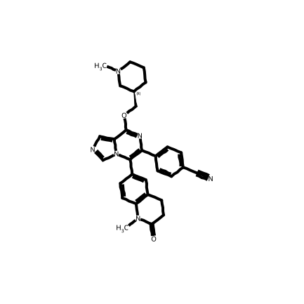 CN1CCC[C@@H](COc2nc(-c3ccc(C#N)cc3)c(-c3ccc4c(c3)CCC(=O)N4C)n3cncc23)C1